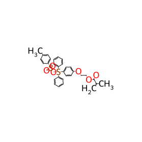 C=C(C)C(=O)OCCOc1ccc(S(OS(=O)(=O)c2ccc(C)cc2)(c2ccccc2)c2ccccc2)cc1